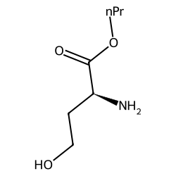 CCCOC(=O)[C@@H](N)CCO